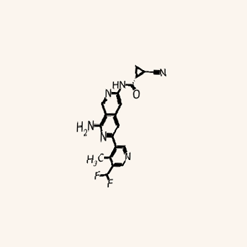 Cc1c(-c2cc3cc(NC(=O)[C@@H]4C[C@H]4C#N)ncc3c(N)n2)cncc1C(F)F